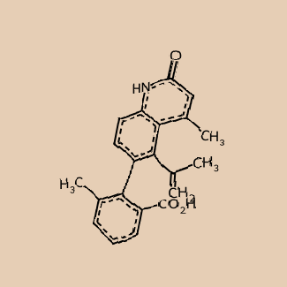 C=C(C)c1c(-c2c(C)cccc2C(=O)O)ccc2[nH]c(=O)cc(C)c12